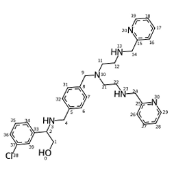 OCC(NCc1ccc(CN(CCNCc2ccccn2)CCNCc2ccccn2)cc1)c1cccc(Cl)c1